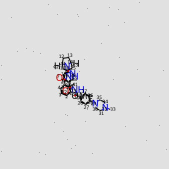 COc1cccc(C(=O)N[C@H]2C[C@H]3CC[C@@H](C2)N3c2ccc(C(=O)NCc3ccc(N4CCN(C)CC4)cc3)cn2)c1C